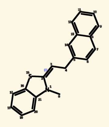 CN1/C(=C\Cc2ccc3ccccc3c2)Sc2ccccc21